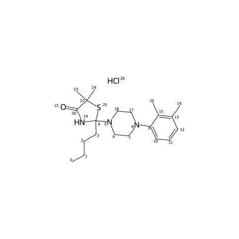 CCCCC1(N2CCN(c3cccc(C)c3C)CC2)NC(=O)C(C)(C)S1.Cl